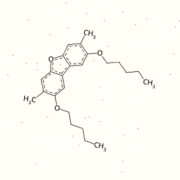 CCCCCOc1cc2c(cc1C)oc1cc(C)c(OCCCCC)cc12